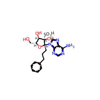 Nc1ncnc2c1ncn2[C@]1(CCCc2ccccc2)O[C@H](CO)[C@@H](O)[C@]1(O)S(=O)(=O)O